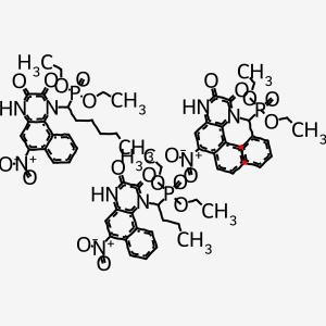 CCCC(n1c(=O)c(=O)[nH]c2cc([N+](=O)[O-])c3ccccc3c21)P(=O)(OCC)OCC.CCCCCC(n1c(=O)c(=O)[nH]c2cc([N+](=O)[O-])c3ccccc3c21)P(=O)(OCC)OCC.CCOP(=O)(OCC)C(c1ccccc1)n1c(=O)c(=O)[nH]c2cc([N+](=O)[O-])c3ccccc3c21